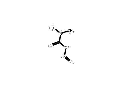 CN(C)C(=O)OP=O